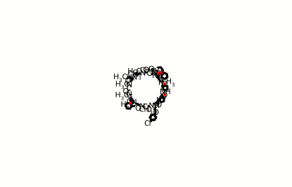 CC[C@H](C)[C@@H]1NC(=O)[C@H](C)N(C)C(=O)C[C@@H](C(=O)N2CCCCC2)N(C)C(=O)[C@H](C2CCCCC2)N(C)C(=O)C2(CCCC2)NC(=O)[C@@H]2CCCN2C(=O)[C@H](CCOc2ccc(Cl)cc2)NC(=O)CN(C)C(=O)[C@H](CC2CCCCC2)N(C)C(=O)CN(C)C(=O)CN(C)C1=O